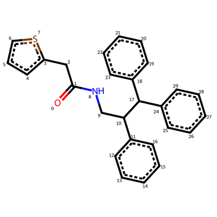 O=C(Cc1cccs1)NCC(c1ccccc1)C(c1ccccc1)c1ccccc1